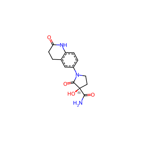 NC(=O)[C@@]1(O)CCN(c2ccc3c(c2)CCC(=O)N3)C1=O